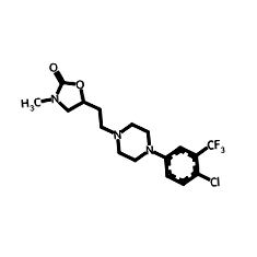 CN1CC(CCN2CCN(c3ccc(Cl)c(C(F)(F)F)c3)CC2)OC1=O